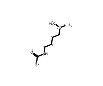 CCC(=O)NCCCCN(C)C